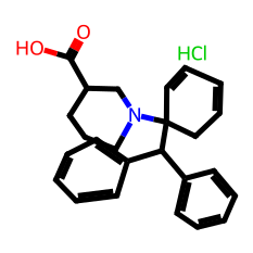 Cl.O=C(O)C1CCCN(C2(C(c3ccccc3)c3ccccc3)C=CC=CC2)C1